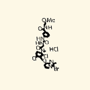 COCCNC(=O)c1cccc(NC(=O)NCC(=O)N(C)c2ccc(Cl)c(COc3cccn4c(Br)c(C)nc34)c2Cl)c1.Cl